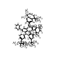 CC(C)(C)c1cccc(N2c3cc(C(C)(C)C)ccc3B3c4c2cc(-c2ccccc2)cc4N(c2ccc4c(c2)C(C)(C)CCC4(C)C)c2oc4c(c23)C(C)(C)CCC4(C)C)c1